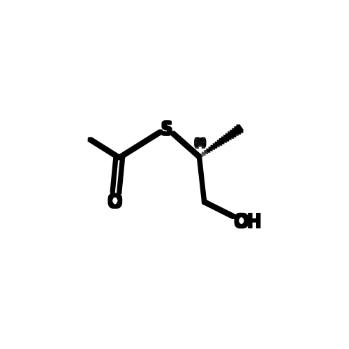 CC(=O)S[C@H](C)CO